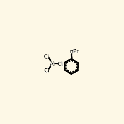 [CH2]CCc1ccccc1.[Cl][Al]([Cl])[Cl]